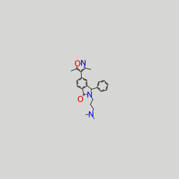 Cc1noc(C)c1-c1ccc2c(c1)C(c1ccccc1)N(CCCN(C)C)C2=O